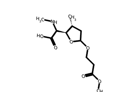 CNC(C(=O)O)[C@@H]1OC(OCCC(=O)OC)C[C@H]1C